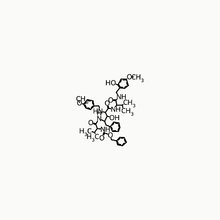 COc1ccc(CNC(C(=O)NC(C(=O)NCc2ccc(OC)cc2O)C(C)C)C(O)C(Cc2ccccc2)NC(=O)C(NC(=O)OCc2ccccc2)C(C)C)cc1